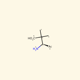 CC(=O)[C@@H](N)C(C)(C)C(=O)O